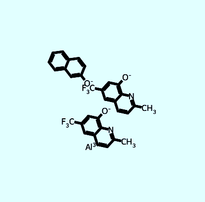 Cc1ccc2cc(C(F)(F)F)cc([O-])c2n1.Cc1ccc2cc(C(F)(F)F)cc([O-])c2n1.[Al+3].[O-]c1ccc2ccccc2c1